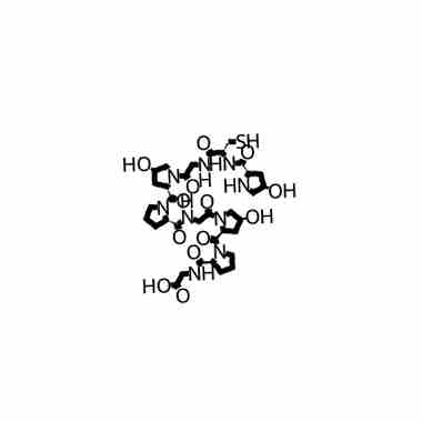 O=C(O)CNC(=O)[C@@H]1CCCN1C(=O)[C@@H]1C[C@@H](O)CN1C(=O)CNC(=O)[C@@H]1CCCN1C(=O)[C@@H]1C[C@@H](O)CN1C(=O)CNC(=O)[C@H](CS)NC(=O)[C@@H]1C[C@@H](O)CN1